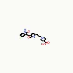 O=C1Nc2ccc(F)cc2/C1=C1\OCc2nc(CCCN3CCC(C(=O)O)CC3)ccc21